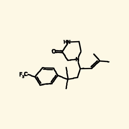 CC(C)=CC(CC(C)(C)c1ccc(C(F)(F)F)cc1)N1CCNC(=O)C1